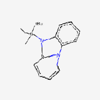 CC(C)(C)[Si](C)(C)N1B2C=CC=CN2c2ccccc21